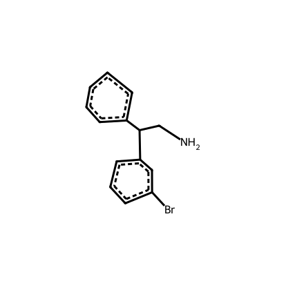 NCC(c1ccccc1)c1cccc(Br)c1